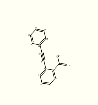 O=C(Br)c1ccccc1C#Cc1ccccc1